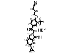 Br.CC(C)(C)c1cc(C(=O)CN2Cc3ccc(C4CC4)nc3C2=N)ccc1OCCCC#N